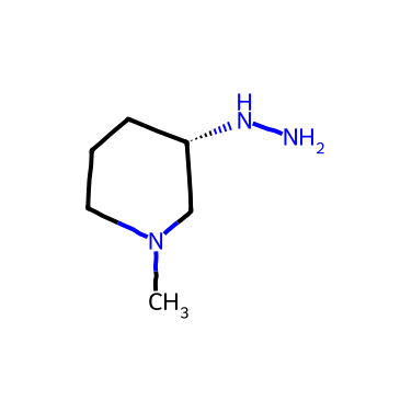 CN1CCC[C@H](NN)C1